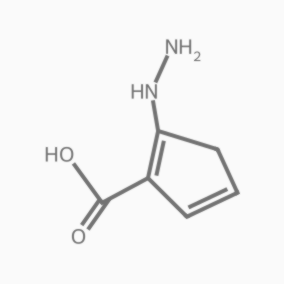 NNC1=C(C(=O)O)C=CC1